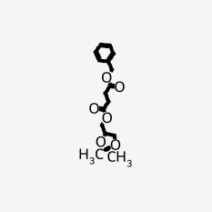 CC1(C)OCC(COC(=O)CCC(=O)OCc2ccccc2)O1